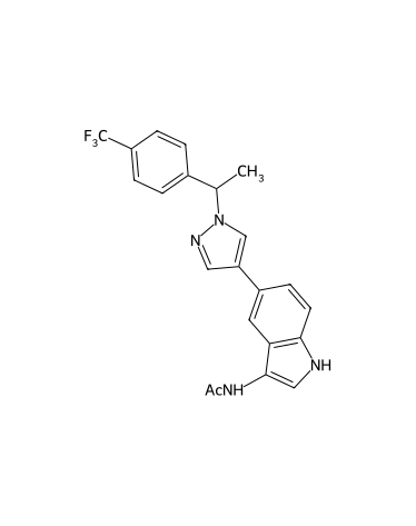 CC(=O)Nc1c[nH]c2ccc(-c3cnn(C(C)c4ccc(C(F)(F)F)cc4)c3)cc12